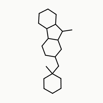 CC1C2CCCCC2C2CCC(CC3(C)CCCCC3)CC12